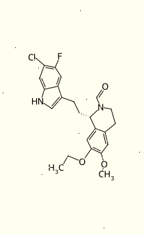 CCOc1cc2c(cc1OC)CCN(C=O)[C@H]2CCc1c[nH]c2cc(Cl)c(F)cc12